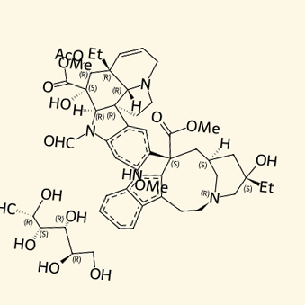 CC[C@]1(O)C[C@H]2C[N@](CCc3c([nH]c4ccccc34)[C@@](C(=O)OC)(c3cc4c(cc3OC)N(C=O)[C@H]3[C@@](O)(C(=O)OC)[C@H](OC(C)=O)[C@]5(CC)C=CCN6CC[C@]43[C@@H]65)C2)C1.O=C[C@H](O)[C@@H](O)[C@H](O)[C@H](O)CO